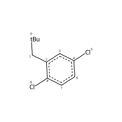 CC(C)(C)Cc1cc(Cl)ccc1Cl